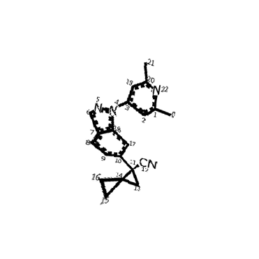 Cc1cc(-n2ncc3ccc([C@]4(C#N)CC45CC5)cc32)cc(C)n1